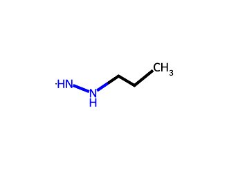 CCCN[NH]